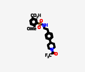 COc1ccc(C(=O)O)cc1S(=O)(=O)NCCc1ccc(C2CCN(C(=O)C(F)(F)F)CC2)cc1